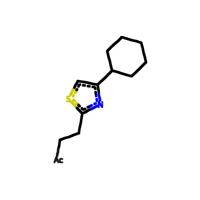 CC(=O)CCc1nc(C2CCCCC2)cs1